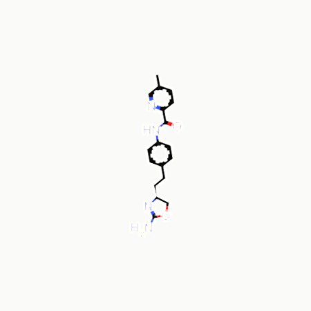 Cc1ccc(C(=O)Nc2ccc(CC[C@H]3COC(N)=N3)cc2)nc1